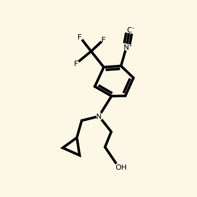 [C-]#[N+]c1ccc(N(CCO)CC2CC2)cc1C(F)(F)F